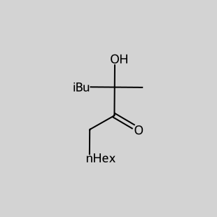 CCCCCCCC(=O)C(C)(O)C(C)CC